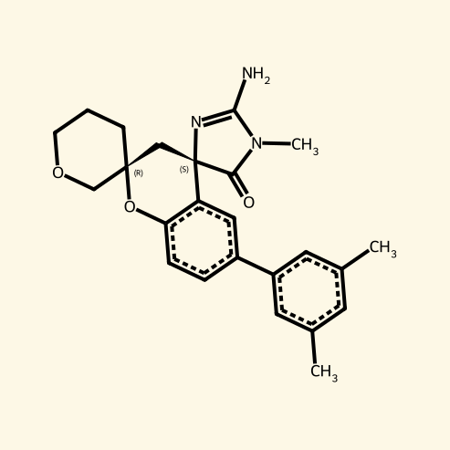 Cc1cc(C)cc(-c2ccc3c(c2)[C@]2(C[C@@]4(CCCOC4)O3)N=C(N)N(C)C2=O)c1